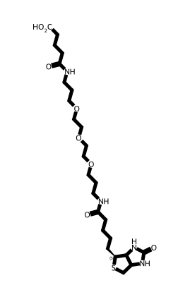 O=C(O)CCCC(=O)NCCCOCCOCCOCCCNC(=O)CCCC[C@@H]1SCC2NC(=O)NC21